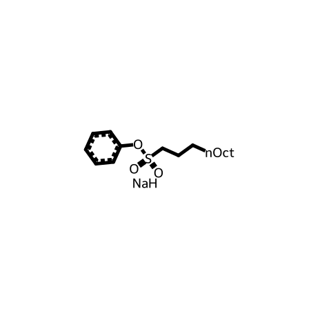 CCCCCCCCCCCS(=O)(=O)Oc1ccccc1.[NaH]